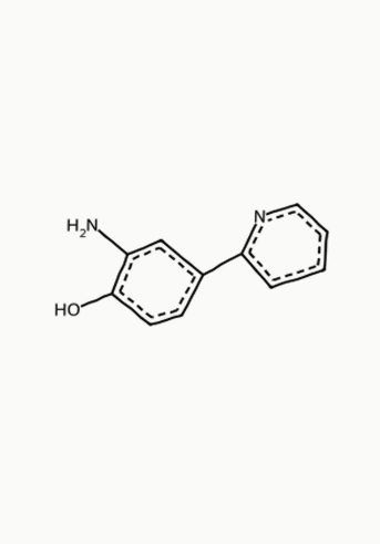 Nc1cc(-c2ccccn2)ccc1O